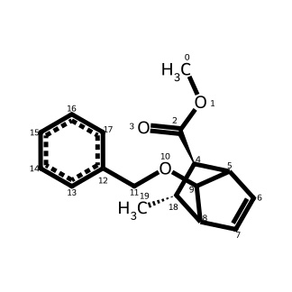 COC(=O)[C@H]1C2C=CC(C2OCc2ccccc2)[C@@H]1C